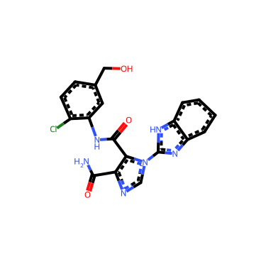 NC(=O)c1ncn(-c2nc3ccccc3[nH]2)c1C(=O)Nc1cc(CO)ccc1Cl